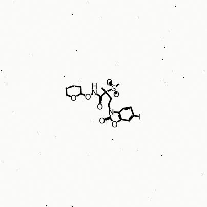 CC(CCn1c(=O)oc2cc(I)ccc21)(C(=O)NOC1CCCCO1)S(C)(=O)=O